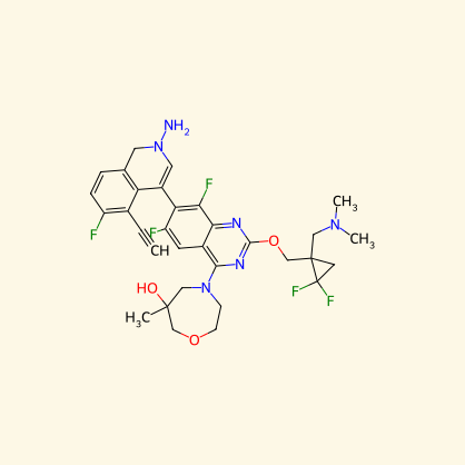 C#Cc1c(F)ccc2c1C(c1c(F)cc3c(N4CCOCC(C)(O)C4)nc(OCC4(CN(C)C)CC4(F)F)nc3c1F)=CN(N)C2